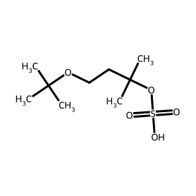 CC(C)(C)OCCC(C)(C)OS(=O)(=O)O